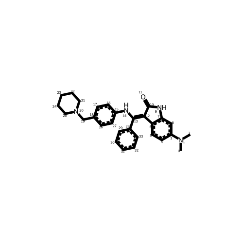 CN(C)c1ccc2c(c1)NC(=O)/C2=C(\Nc1ccc(CN2CCCCC2)cc1)c1ccccc1